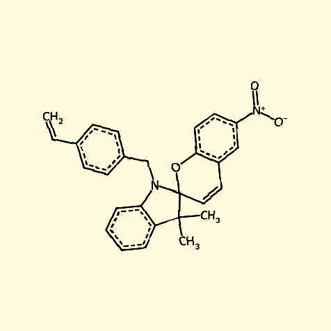 C=Cc1ccc(CN2c3ccccc3C(C)(C)C23C=Cc2cc([N+](=O)[O-])ccc2O3)cc1